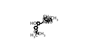 Cc1nc(NCCc2ccc(O)c(-c3cccc(CC(=O)N(C)C)c3)c2)c2nc3n(c2n1)C(C)(C)CO3